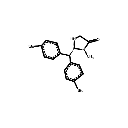 CN1C(=O)CN[C@H]1C(c1ccc(C(C)(C)C)cc1)c1ccc(C(C)(C)C)cc1